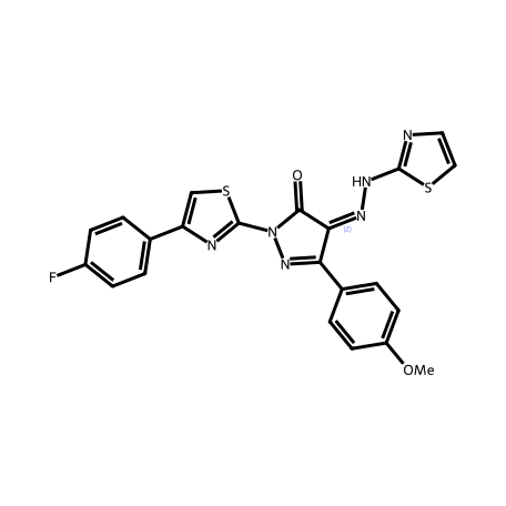 COc1ccc(C2=NN(c3nc(-c4ccc(F)cc4)cs3)C(=O)/C2=N\Nc2nccs2)cc1